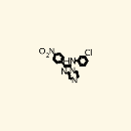 O=[N+]([O-])c1ccc(-c2nc3cnccn3c2Nc2cccc(Cl)c2)cc1